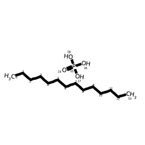 CCCCCCCCCCCCCC.O=P(O)(O)O